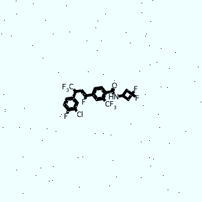 O=C(NC1CC(F)(F)C1)c1ccc(C(F)=CC(c2ccc(F)c(Cl)c2)C(F)(F)F)cc1C(F)(F)F